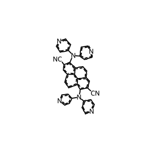 N#Cc1cc2ccc3c(N(c4ccncc4)c4ccncc4)c(C#N)cc4ccc(c1N(c1ccncc1)c1ccncc1)c2c43